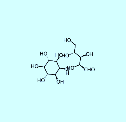 O=C[C@@H](O)[C@H](O)[C@H](O)CO.O[C@H]1[C@H](O)[C@@H](O)[C@H](O)[C@@H](O)[C@H]1O